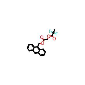 CC(F)(F)C(=O)OCC(=O)OCc1c2ccccc2cc2ccccc12